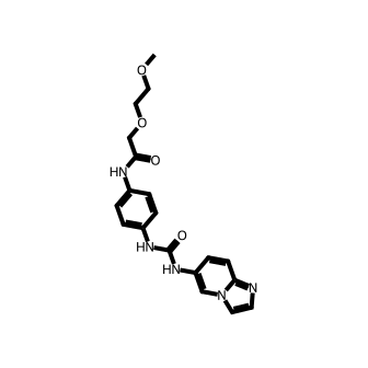 COCCOCC(=O)Nc1ccc(NC(=O)Nc2ccc3nccn3c2)cc1